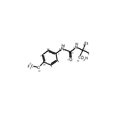 CCC(C)(NC(=O)Nc1ccc(OC(F)(F)F)cc1)C(=O)O